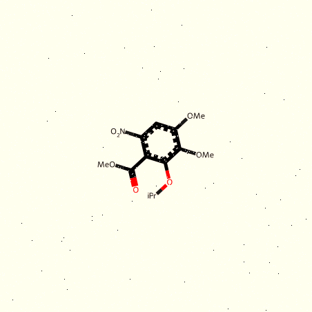 COC(=O)c1c([N+](=O)[O-])cc(OC)c(OC)c1OC(C)C